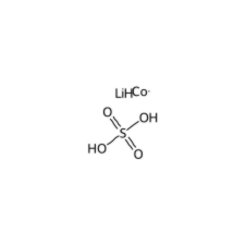 O=S(=O)(O)O.[Co].[LiH]